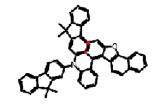 CC1(C)c2ccccc2-c2ccc(N(c3ccc4c(c3)C(C)(C)c3ccccc3-4)c3ccccc3-c3cccc4oc5c6ccccc6ccc5c34)cc21